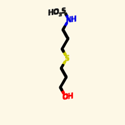 O=S(=O)(O)NCCCSCCCO